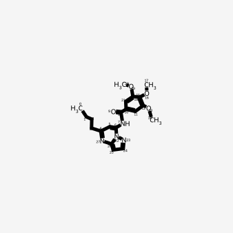 CCCCc1cc(NC(=O)c2cc(OC)c(OC)c(OC)c2)n2nccc2n1